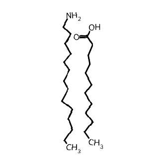 CCCCCCCCCCCC(=O)O.CCCCCCCCCCCCCCN